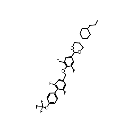 CCC[C@H]1CC[C@H](C2COC(c3cc(F)c(OCc4cc(F)c(-c5ccc(OC(F)(F)F)cc5)c(F)c4)c(F)c3)OC2)CC1